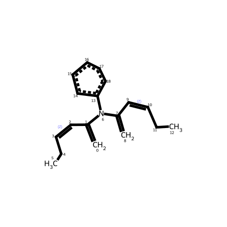 C=C(/C=C\CC)N(C(=C)/C=C\CC)c1ccccc1